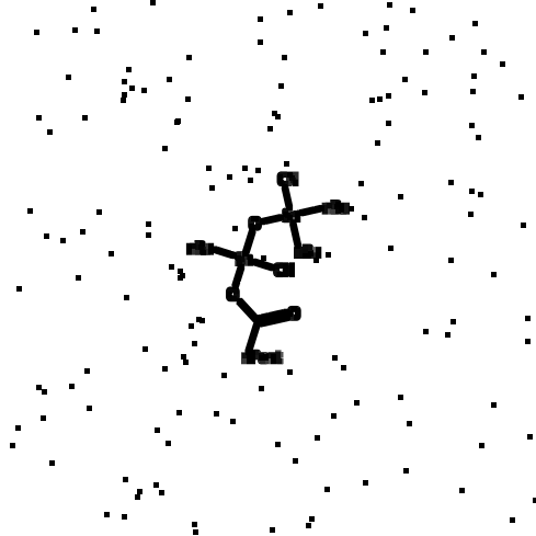 CCCCCC(=O)[O][Sn]([C]#N)([CH2]CCC)[O][Sn]([C]#N)([CH2]CCC)[CH2]CCC